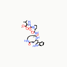 COC(=O)[C@@H](NC(=O)N1CCC[C@H]1C(=O)N[C@H]1CCCCNC(=O)/C=C/[C@H](Cc2c[nH]c3ccccc23)NC1=O)C(C)C